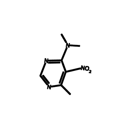 Cc1ncnc(N(C)C)c1[N+](=O)[O-]